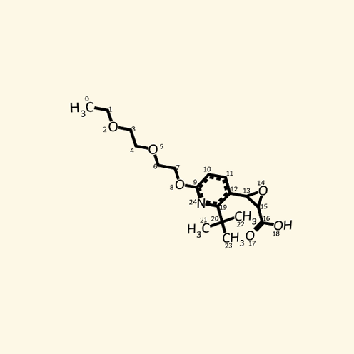 CCOCCOCCOc1ccc(C2OC2C(=O)O)c(C(C)(C)C)n1